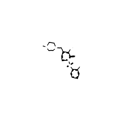 CCN1CCN(Cc2ccn(S(=O)(=O)c3ccccc3F)c(=O)c2O)CC1